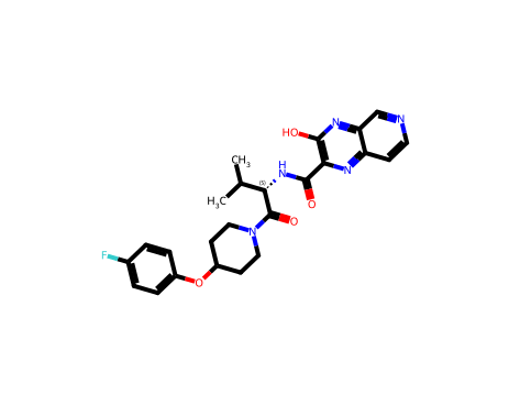 CC(C)[C@H](NC(=O)c1nc2ccncc2nc1O)C(=O)N1CCC(Oc2ccc(F)cc2)CC1